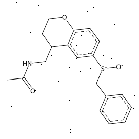 CC(=O)NCC1CCOc2ccc([S+]([O-])Cc3ccccc3)cc21